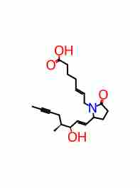 CC#CC[C@H](C)[C@H](O)/C=C/C1CCC(=O)N1CC=CCCCC(=O)O